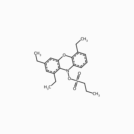 CCCS(=O)(=O)ON1c2cccc(CC)c2Oc2cc(CC)cc(CC)c21